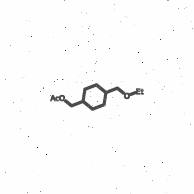 CCOCC1CCC(COC(C)=O)CC1